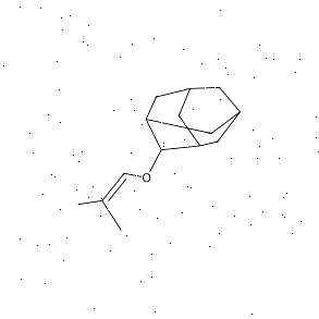 CC(C)=COC1C2CC3CC(C2)CC1C3